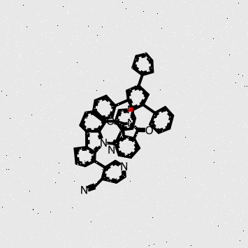 N#Cc1ccncc1-c1cccc2c3cccc(-c4cnccc4C#N)c3n(-c3cccc4c3C(=O)N(c3c(-c5ccccc5)cc(-c5ccccc5)cc3-c3ccccc3)C4=O)c12